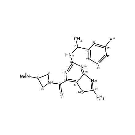 CNC1CN(C(=O)c2nc(NC(C)c3cncc(F)c3)nc3nc(C)sc23)C1